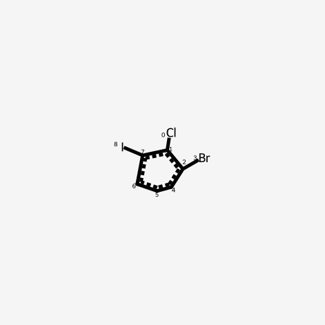 Clc1c(Br)cccc1I